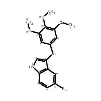 COc1cc(Sc2c[nH]c3ccc(F)cc23)cc(OC)c1OC